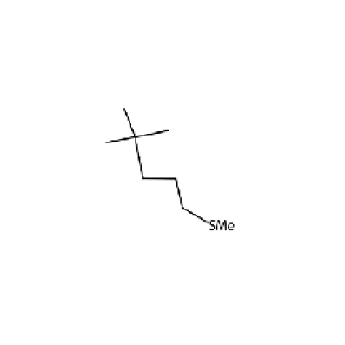 CSCCCC(C)(C)C